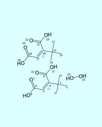 CC(C)(C)/C(=C/C(=O)O)C(=O)O.CC(C)(C)/C(=C/C(=O)O)C(=O)O.OO